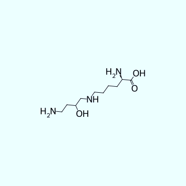 NCCC(O)CNCCCC[C@@H](N)C(=O)O